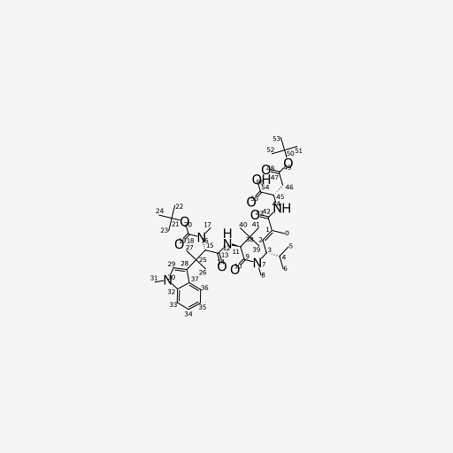 C/C(=C\[C@H](C(C)C)N(C)C(=O)[C@@H](NC(=O)[C@@H](N(C)C(=O)OC(C)(C)C)C(C)(C)c1cn(C)c2ccccc12)C(C)(C)C)C(=O)N[C@@H](CC(=O)OC(C)(C)C)C(=O)O